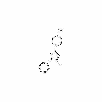 COc1ccc(-c2nc(O)c(-c3ccccc3)s2)cc1